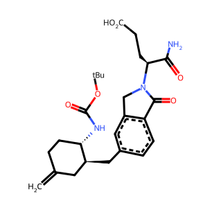 C=C1CC[C@H](NC(=O)OC(C)(C)C)[C@@H](Cc2ccc3c(c2)CN([C@@H](CCC(=O)O)C(N)=O)C3=O)C1